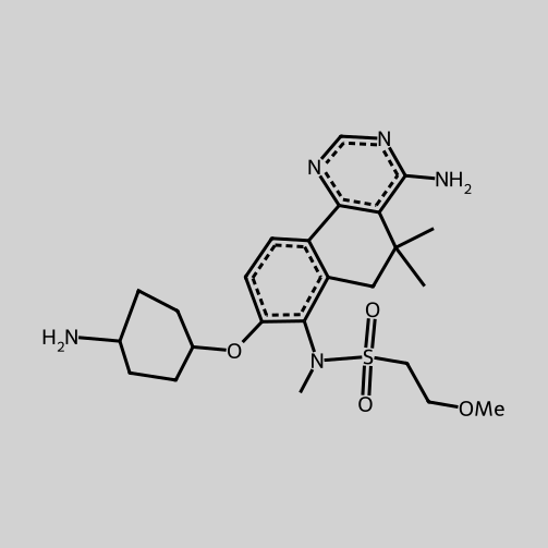 COCCS(=O)(=O)N(C)c1c(OC2CCC(N)CC2)ccc2c1CC(C)(C)c1c(N)ncnc1-2